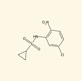 O=[N+]([O-])c1ccc(Cl)cc1NS(=O)(=O)C1CC1